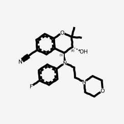 CC1(C)Oc2ccc(C#N)cc2[C@H](N(CCN2CCOCC2)c2ccc(F)cc2)[C@H]1O